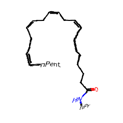 CCCCC/C=C\C/C=C\C/C=C\C/C=C\CCCCCC(=O)NCCC